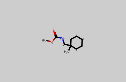 CC1(CNC(=O)OC(C)(C)C)CCCCC1